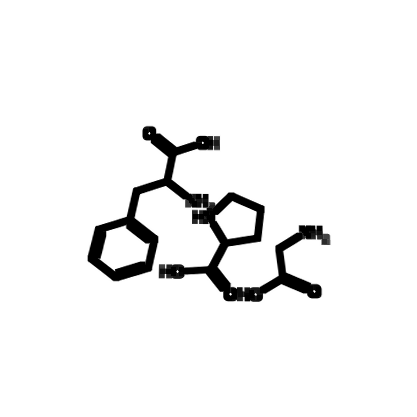 NC(Cc1ccccc1)C(=O)O.NCC(=O)O.O=C(O)C1CCCN1